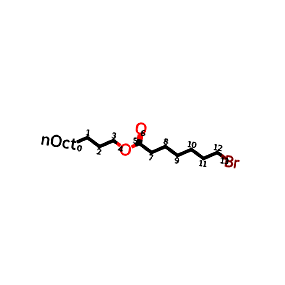 CCCCCCCCCCCOC(=O)CCCCCCBr